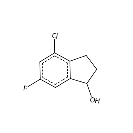 OC1CCc2c(Cl)cc(F)cc21